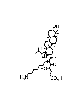 C=C(C)[C@@H]1CC[C@]2(C(=O)N(CCCCCCCN)C(=O)[C@@H](O)CCC(=O)O)CC[C@]3(C)[C@H](CCC4[C@@]5(C)CC[C@H](O)C(C)(C)[C@@H]5CC[C@]43C)[C@@H]12